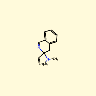 C=CC1(N(C)C)Cc2ccccc2C=N1